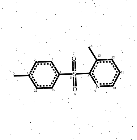 Cc1ccc(S(=O)(=O)c2ncccc2C)cc1